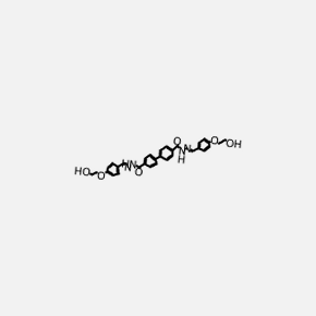 O=C(N/N=C/c1ccc(OCCO)cc1)c1ccc(-c2ccc(C(=O)N/N=C/c3ccc(OCCO)cc3)cc2)cc1